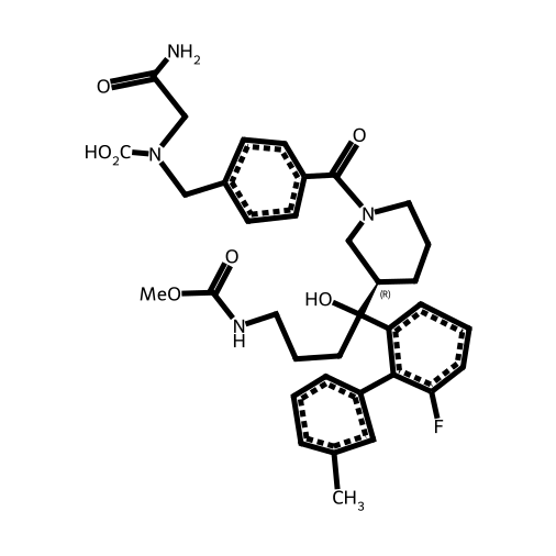 COC(=O)NCCCC(O)(c1cccc(F)c1-c1cccc(C)c1)[C@@H]1CCCN(C(=O)c2ccc(CN(CC(N)=O)C(=O)O)cc2)C1